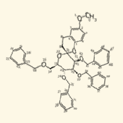 COc1ccc2c(c1)CC[C@]1(O2)O[C@H](COCc2ccccc2)[C@@H](OCc2ccccc2)[C@H](OCc2ccccc2)[C@@H]1OCc1ccccc1